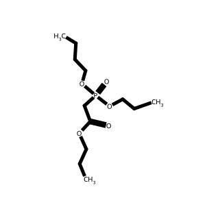 CCCCOP(=O)(CC(=O)OCCC)OCCC